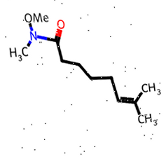 CON(C)C(=O)CCCCC=C(C)C